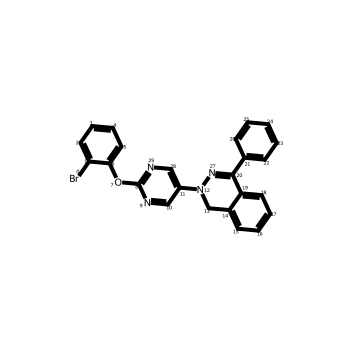 Brc1ccccc1Oc1ncc(N2Cc3ccccc3C(c3ccccc3)=N2)cn1